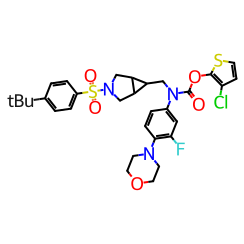 CC(C)(C)c1ccc(S(=O)(=O)N2CC3C(CN(C(=O)Oc4sccc4Cl)c4ccc(N5CCOCC5)c(F)c4)C3C2)cc1